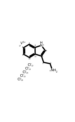 NCCc1c[nH]c2ccccc12.[Cl-].[Cl-].[Cl-].[Cl-].[Cl-].[V+5]